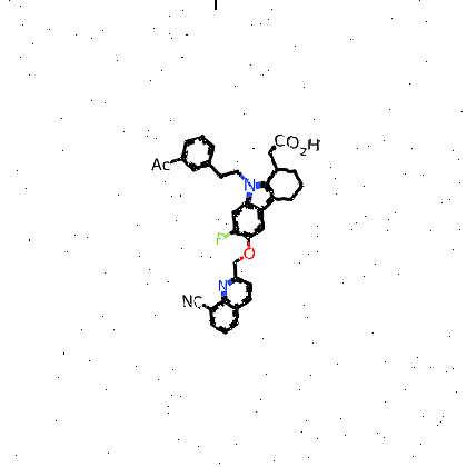 CC(=O)c1cccc(CCn2c3c(c4cc(OCc5ccc6cccc(C#N)c6n5)c(F)cc42)CCCC3CC(=O)O)c1